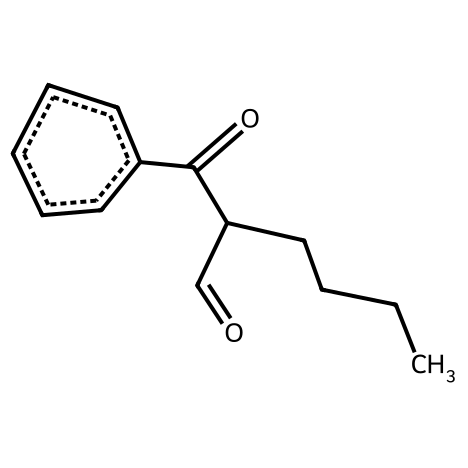 CCCCC(C=O)C(=O)c1ccccc1